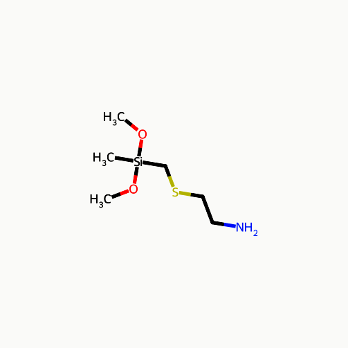 CO[Si](C)(CSCCN)OC